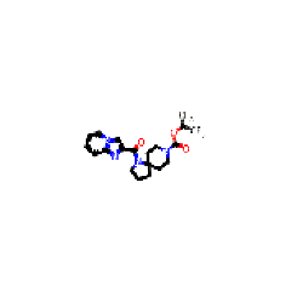 O=C(OC(C(F)(F)F)C(F)(F)F)N1CCC2(CCCN2C(=O)c2cn3ccccc3n2)CC1